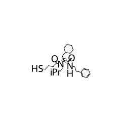 CC(C)CN(C(=O)CCCS)[C@@H](CC1CCCCC1)C(=O)NCCc1ccccc1